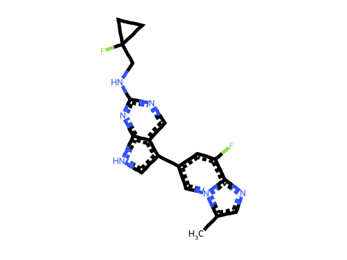 Cc1cnc2c(F)cc(-c3c[nH]c4nc(NCC5(F)CC5)ncc34)cn12